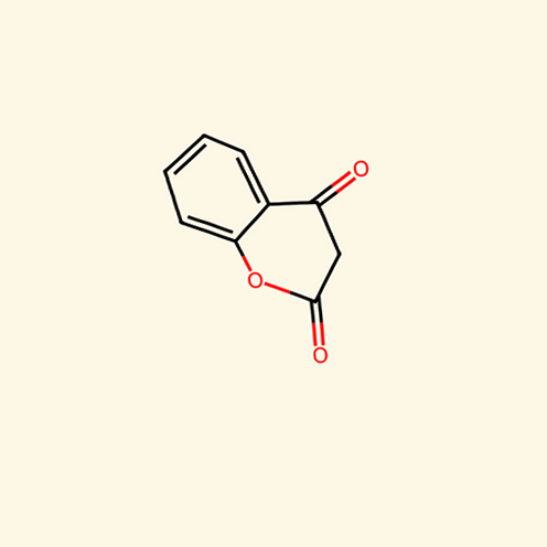 O=C1CC(=O)c2ccccc2O1